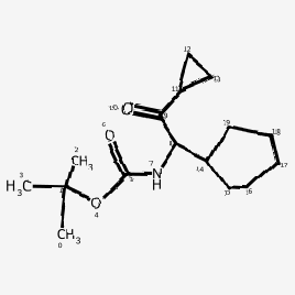 CC(C)(C)OC(=O)NC(C(=O)C1CC1)C1CCCCC1